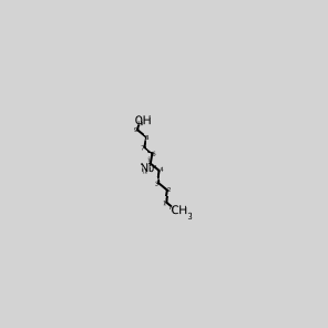 CCCCCCCCCCO.[Nb]